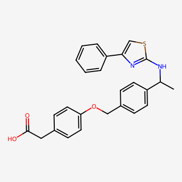 CC(Nc1nc(-c2ccccc2)cs1)c1ccc(COc2ccc(CC(=O)O)cc2)cc1